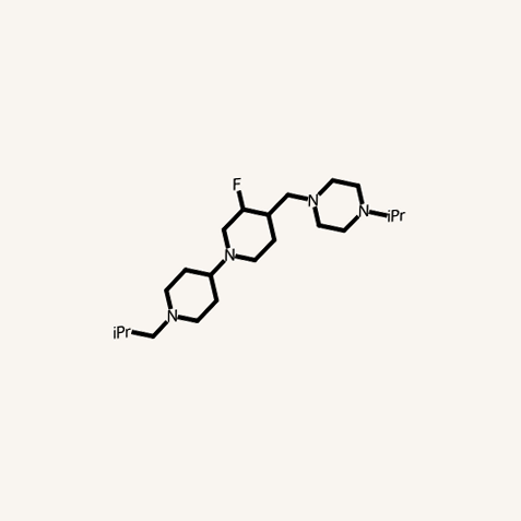 CC(C)CN1CCC(N2CCC(CN3CCN(C(C)C)CC3)C(F)C2)CC1